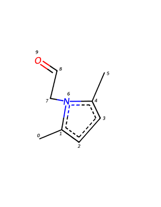 Cc1ccc(C)n1CC=O